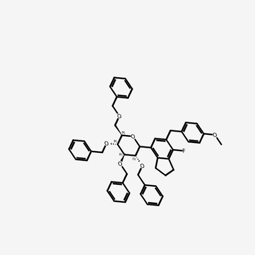 COc1ccc(Cc2cc(C3O[C@H](COCc4ccccc4)[C@@H](OCc4ccccc4)[C@H](OCc4ccccc4)[C@H]3OCc3ccccc3)c3c(c2F)CCC3)cc1